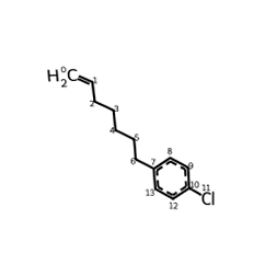 C=CCCCCCc1ccc(Cl)cc1